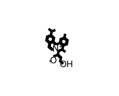 COC/C(=C\CO)C1C(C)c2ccc(C)cc2-c2c3cc(C(C)C)ccc3cc[n+]21